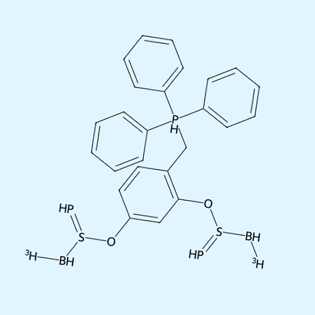 [3H]BS(=P)Oc1ccc(C[PH](c2ccccc2)(c2ccccc2)c2ccccc2)c(OS(=P)B[3H])c1